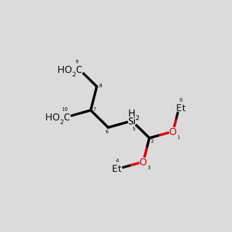 CCOC(OCC)[SiH2]CC(CC(=O)O)C(=O)O